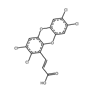 O=C(O)C=Cc1c(Cl)c(Cl)cc2c1Oc1cc(Cl)c(Cl)cc1O2